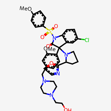 COc1ccc(S(=O)(=O)N2C(=O)C(c3ccc(CN4CCN(CCO)CC4)cc3OC)(N3CCCC3c3ncco3)c3cc(Cl)ccc32)cc1